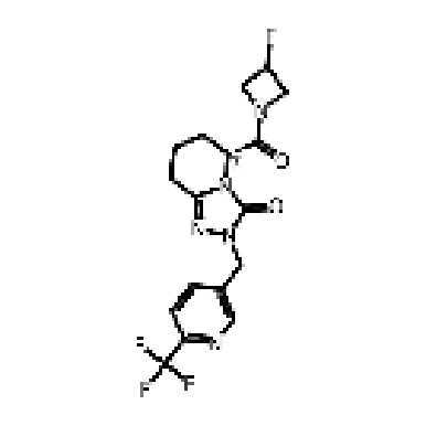 O=C([C@@H]1CCCc2nn(Cc3ccc(C(F)(F)F)nc3)c(=O)n21)N1CC(F)C1